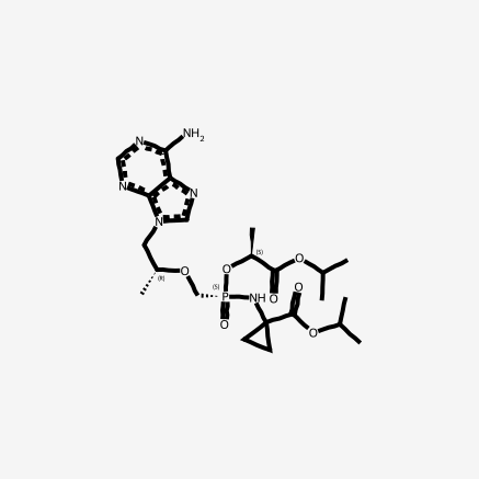 CC(C)OC(=O)[C@H](C)O[P@@](=O)(CO[C@H](C)Cn1cnc2c(N)ncnc21)NC1(C(=O)OC(C)C)CC1